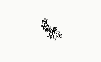 Cn1nnc(N(Cc2cc(C(F)(F)F)cc(C(F)(F)F)c2)Cc2cc3cc(F)c(F)cc3nc2N2CCC[C@@H]2[C@H]2CC[C@H](C(N)=O)CC2)n1